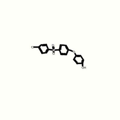 O=S(=O)(c1ccc(Cl)cc1)c1ccc(Oc2ccc(O)cc2)cc1